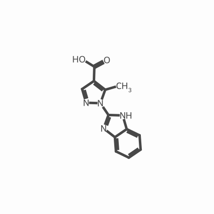 Cc1c(C(=O)O)cnn1-c1nc2ccccc2[nH]1